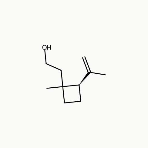 C=C(C)[C@H]1CCC1(C)CCO